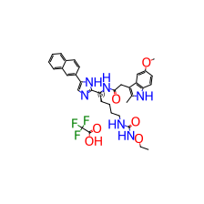 CCONC(=O)NCCCC[C@H](NC(=O)Cc1c(C)[nH]c2ccc(OC)cc12)c1ncc(-c2ccc3ccccc3c2)[nH]1.O=C(O)C(F)(F)F